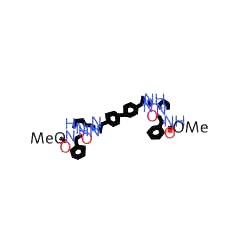 COC(=O)NC(C(=O)N1CC=CC1c1nc(-c2ccc(-c3ccc(-c4c[nH]c([C@@H]5C=CCN5C(=O)C(NC(=O)OC)c5ccccc5)n4)cc3)cc2)c[nH]1)c1ccccc1